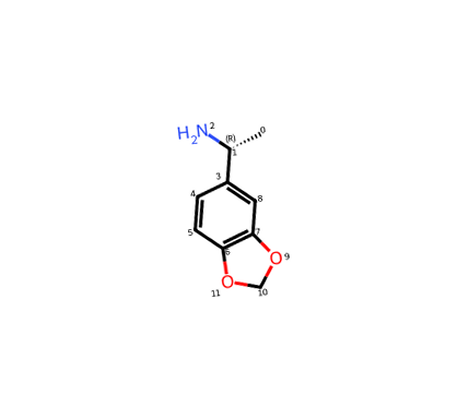 C[C@@H](N)c1ccc2c(c1)OCO2